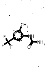 Cc1sc(C(F)(F)F)cc1NC(N)=O